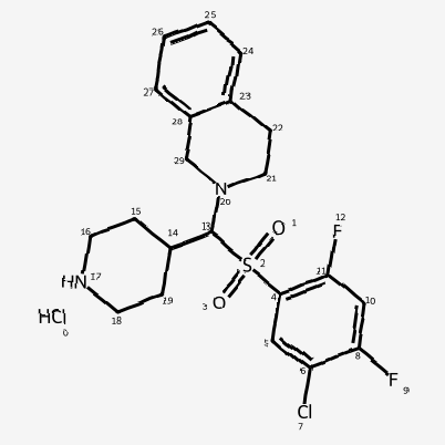 Cl.O=S(=O)(c1cc(Cl)c(F)cc1F)C(C1CCNCC1)N1CCc2ccccc2C1